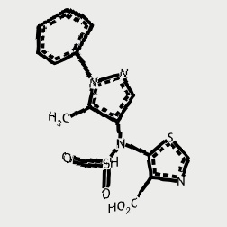 Cc1c(N(c2scnc2C(=O)O)[SH](=O)=O)cnn1-c1ccccc1